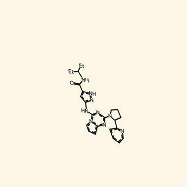 CCC(CC)NC(=O)c1cc(Nc2nc(N3CCCC3c3ccccn3)nc3cccn23)n[nH]1